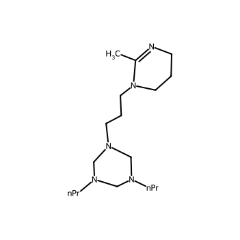 CCCN1CN(CCC)CN(CCCN2CCCN=C2C)C1